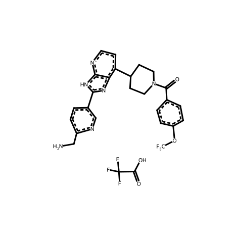 NCc1ccc(-c2nc3c(C4CCN(C(=O)c5ccc(OC(F)(F)F)cc5)CC4)ccnc3[nH]2)cn1.O=C(O)C(F)(F)F